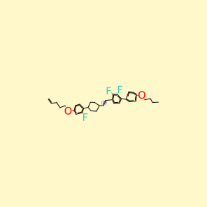 C=CCCCOc1ccc(C2CCC(/C=C/c3ccc(-c4ccc(OCCCC)cc4)c(F)c3F)CC2)c(F)c1